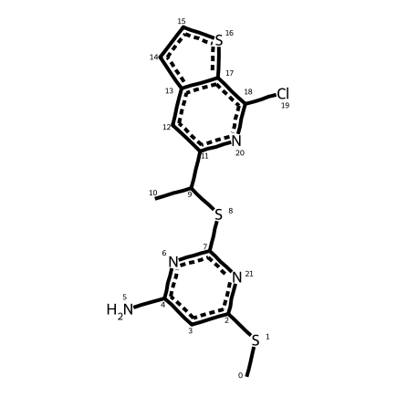 CSc1cc(N)nc(SC(C)c2cc3ccsc3c(Cl)n2)n1